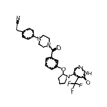 N#CCc1ccc(N2CCN(C(=O)c3cccc(OC4CCCN4c4cn[nH]c(=O)c4C(F)(F)F)c3)CC2)cc1